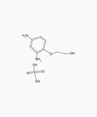 Nc1ccc(OCCO)c(N)c1.O=S(=O)(O)O